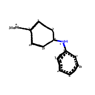 CNC1CCC(Nc2ccccc2)CC1